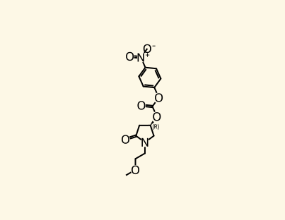 COCCN1C[C@H](OC(=O)Oc2ccc([N+](=O)[O-])cc2)CC1=O